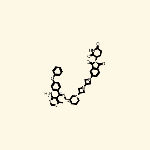 Cc1ncnc(N)c1/C(=N\C[C@@H]1CCCN(C2CN(C3CN(c4ccc5c(c4)C(=O)N(C4CCC(=O)NC4=O)C5=O)C3)C2)C1)c1ccc(Oc2ccccc2)cc1